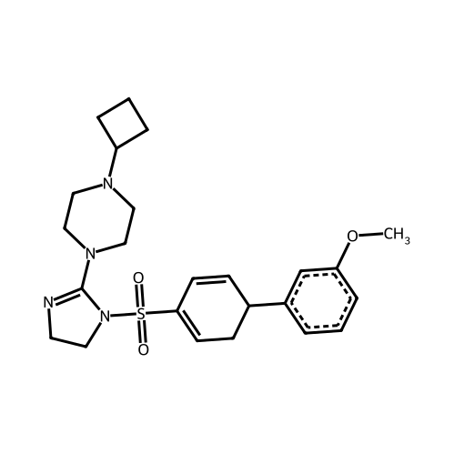 COc1cccc(C2C=CC(S(=O)(=O)N3CCN=C3N3CCN(C4CCC4)CC3)=CC2)c1